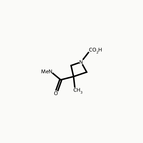 CNC(=O)C1(C)CN(C(=O)O)C1